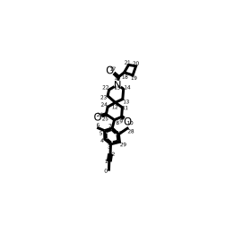 CC#Cc1cc(C)c(C2C(=O)CC3(CCN(C(=O)C4CCC4)CC3)CC2=O)c(C)c1